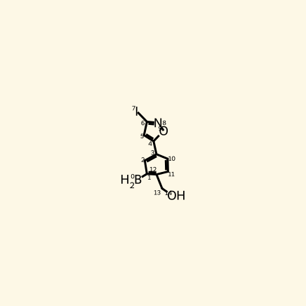 Bc1cc(-c2cc(I)no2)ccc1CO